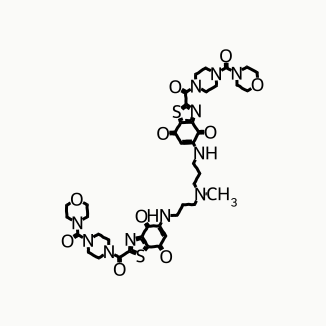 CN(CCCNC1=CC(=O)c2sc(C(=O)N3CCN(C(=O)N4CCOCC4)CC3)nc2C1=O)CCCNC1=CC(=O)c2sc(C(=O)N3CCN(C(=O)N4CCOCC4)CC3)nc2C1=O